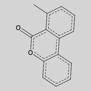 Cc1cccc2c1c(=O)oc1ccccc12